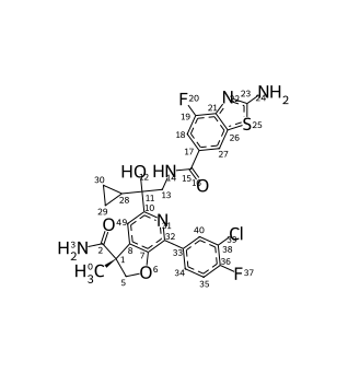 C[C@]1(C(N)=O)COc2c1cc(C(O)(CNC(=O)c1cc(F)c3nc(N)sc3c1)C1CC1)nc2-c1ccc(F)c(Cl)c1